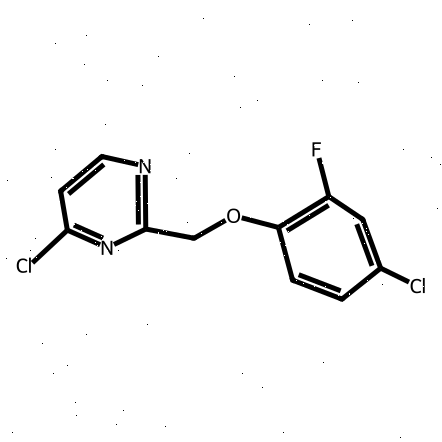 Fc1cc(Cl)ccc1OCc1nccc(Cl)n1